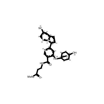 CNC(=O)CCNC(=O)c1cnc(-c2ccc3cc(C#N)cnn23)cc1NC12CCC(O)(CC1)CC2